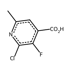 Cc1cc(C(=O)O)c(F)c(Cl)n1